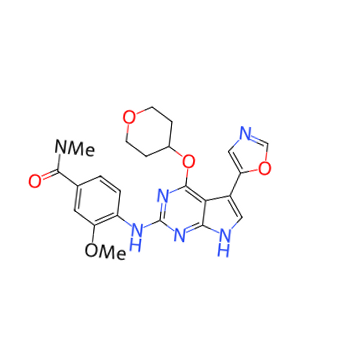 CNC(=O)c1ccc(Nc2nc(OC3CCOCC3)c3c(-c4cnco4)c[nH]c3n2)c(OC)c1